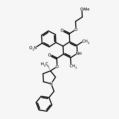 COCCOC(=O)C1=C(C)NC(C)=C(C(=O)O[C@]2(C)CCN(Cc3ccccc3)C2)C1c1cccc([N+](=O)[O-])c1